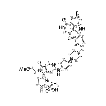 COCCn1c(=O)c2cnc(Nc3ccc(N4CCN(Cc5ccc(-c6[nH]c7cc(F)cc8c7c6CCNC8=O)c(Cl)c5)CC4)cc3)nc2n1-c1cccc(C(C)(C)O)n1